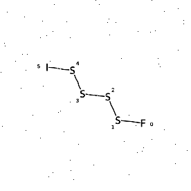 FSSSSI